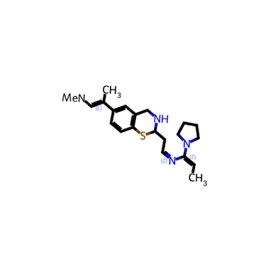 C/C=C(\N=C/CC1NCc2cc(/C(C)=C/NC)ccc2S1)N1CCCC1